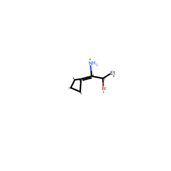 CCC(Br)C(N)=C1CCC1